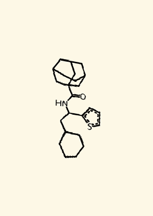 O=C(NC(CC1CCCCC1)c1cccs1)C12CC3CC(CC(C3)C1)C2